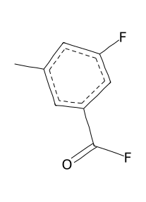 Cc1cc(F)cc(C(=O)F)c1